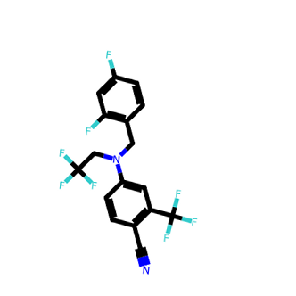 N#Cc1ccc(N(Cc2ccc(F)cc2F)CC(F)(F)F)cc1C(F)(F)F